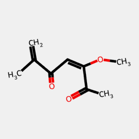 C=C(C)C(=O)/C=C(/OC)C(C)=O